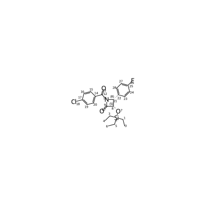 CC[Si](CC)(CC)O[C@@H]1C(=O)N(C(=O)c2ccc(Cl)cc2)[C@@H]1c1ccc(F)cc1